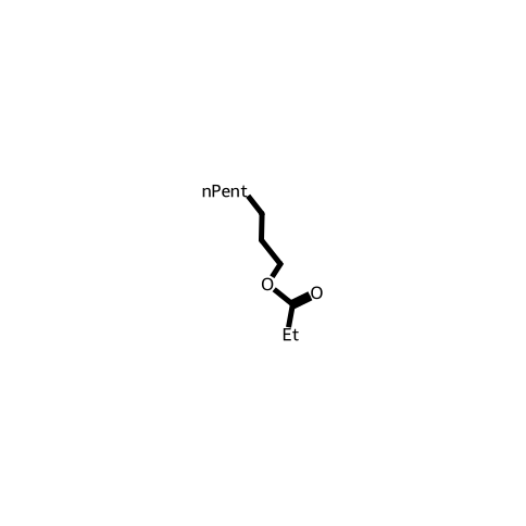 CCCCCCCCOC(=O)CC